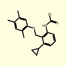 CCC(=S)Nc1cccc(C2CC2)c1COc1cc(C)c(C)cc1C